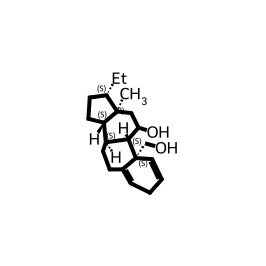 [CH2]C[C@H]1CC[C@H]2[C@@H]3CCC4=CCC=C[C@]4(CO)[C@H]3C(O)C[C@]12C